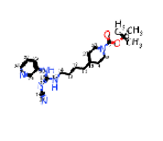 CC(C)(C)OC(=O)N1CCC(CCCCN/C(=N\C#N)Nc2cccnc2)CC1